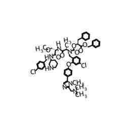 COC[C@H](NC(=O)[C@H](C)N(Cc1ccc(Cl)cc1Oc1ccc(-c2cnc(CN(C)C)n2C)cc1)C(=O)O[C@@H](Cc1ccccc1)C(=O)OCc1ccccc1)C(=O)N[C@@]1(Cc2ccc(Cl)cc2)CCCNC1